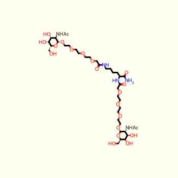 CC(=O)N[C@H]1[C@H](OCCOCCOCCOCC(=O)NCCCCC(NC(=O)COCCOCCOCCO[C@@H]2O[C@H](CO)[C@H](O)[C@H](O)[C@H]2NC(C)=O)C(N)=O)O[C@H](CO)[C@H](O)[C@@H]1O